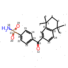 CC1(C)CCC(C)(C)c2cc(C(=O)c3ccc(S(N)(=O)=O)cc3)ccc21